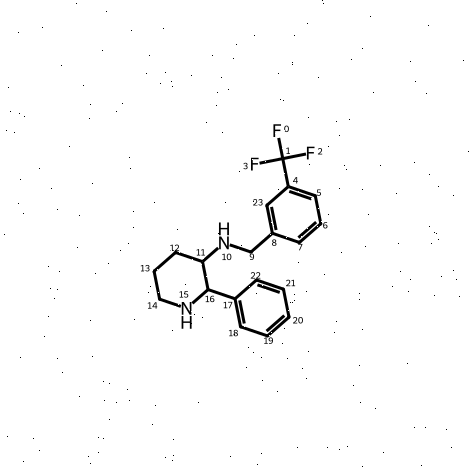 FC(F)(F)c1cccc(CNC2CCCNC2c2ccccc2)c1